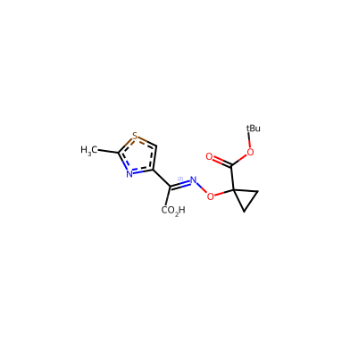 Cc1nc(/C(=N/OC2(C(=O)OC(C)(C)C)CC2)C(=O)O)cs1